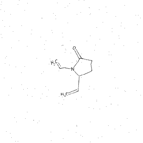 C=CC1CCC(=O)N1C=C